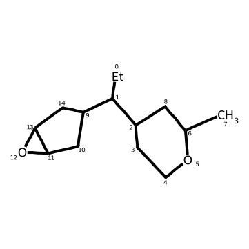 CCC(C1CCOC(C)C1)C1CC2OC2C1